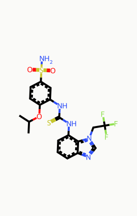 CC(C)Oc1ccc(S(N)(=O)=O)cc1NC(=S)Nc1cccc2ncn(CC(F)(F)F)c12